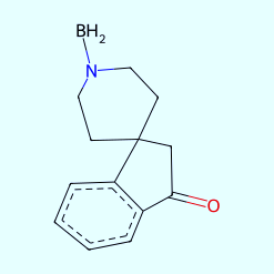 BN1CCC2(CC1)CC(=O)c1ccccc12